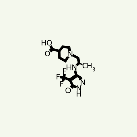 C[C@H](CN1CCC(C(=O)O)CC1)Nc1cn[nH]c(=O)c1C(F)(F)F